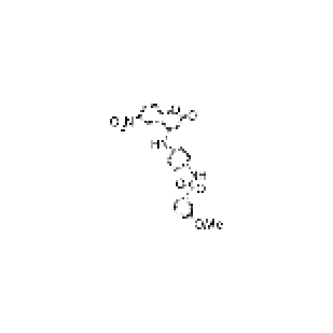 COc1cccc(S(=O)(=O)Nc2ccc(Nc3cc(=O)oc4ccc([N+](=O)[O-])cc34)cc2)c1